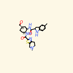 Cc1ccc2c(c1)CC(C(=O)N[C@H]1C[C@H](C=O)CC[C@H]1NC(=O)c1nc3c(s1)CN(C)CC3)N2